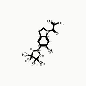 C=C(C)C(=O)N1CCc2cc(B3OC(C)(C)C(C)(C)O3)c(C)cc21